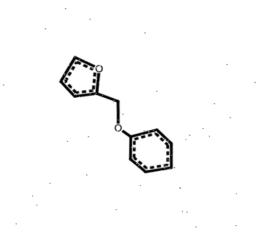 [c]1ccc(OCc2ccco2)cc1